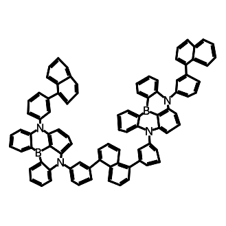 c1cc(-c2cccc3ccccc23)cc(N2c3ccccc3B3c4ccccc4N(c4cccc(-c5cccc6c(-c7cccc(N8c9ccccc9B9c%10ccccc%10N(c%10cccc(-c%11cccc%12ccccc%11%12)c%10)c%10cccc8c%109)c7)cccc56)c4)c4cccc2c43)c1